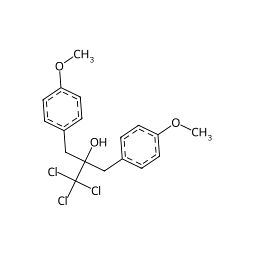 COc1ccc(CC(O)(Cc2ccc(OC)cc2)C(Cl)(Cl)Cl)cc1